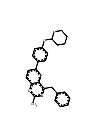 Nc1nc(Cc2ccccc2)c2nc(-c3ccc(OC4CCCCO4)cc3)ccc2n1